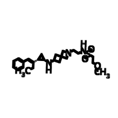 CC/C(=C\c1ccccc1)[C@@H]1C[C@H]1NC1CC2(C1)CN(CCNS(=O)(=O)CCOC)C2